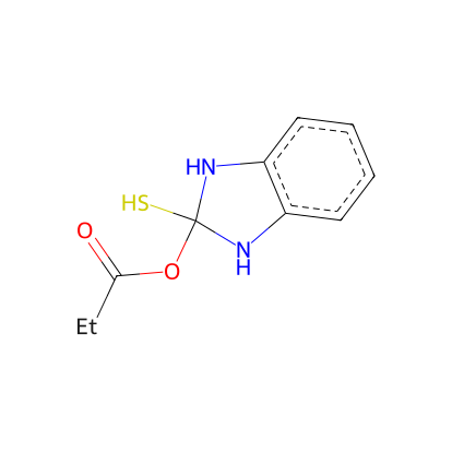 CCC(=O)OC1(S)Nc2ccccc2N1